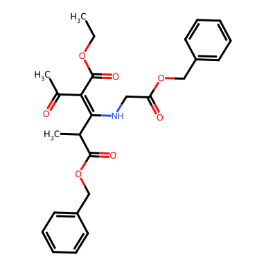 CCOC(=O)C(C(C)=O)=C(NCC(=O)OCc1ccccc1)C(C)C(=O)OCc1ccccc1